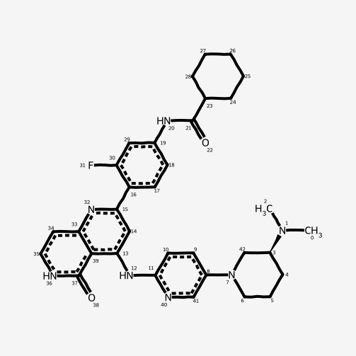 CN(C)[C@H]1CCCN(c2ccc(Nc3cc(-c4ccc(NC(=O)C5CCCCC5)cc4F)nc4cc[nH]c(=O)c34)nc2)C1